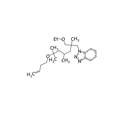 C=CCCOC(C)(C)CC(C)CC(C)(COCC)Cn1nnc2ccccc21